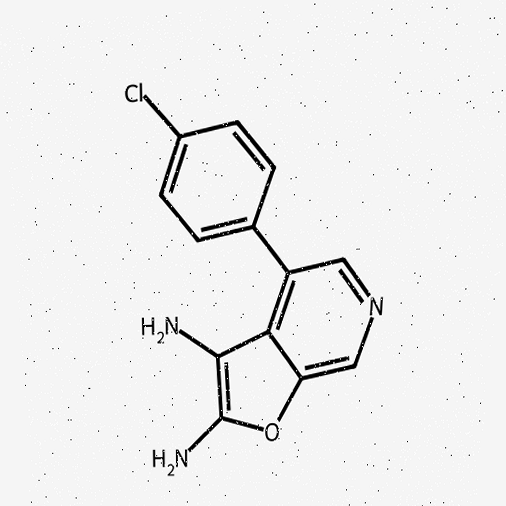 Nc1oc2cncc(-c3ccc(Cl)cc3)c2c1N